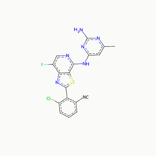 [C-]#[N+]c1cccc(Cl)c1-c1nc2c(F)cnc(Nc3cc(C)nc(N)n3)c2s1